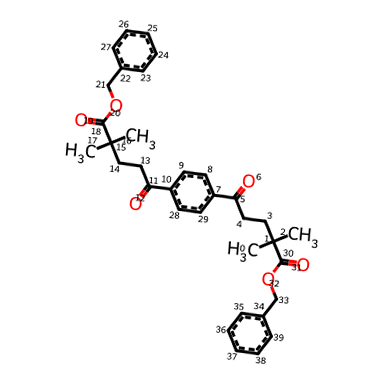 CC(C)(CCC(=O)c1ccc(C(=O)CCC(C)(C)C(=O)OCc2ccccc2)cc1)C(=O)OCc1ccccc1